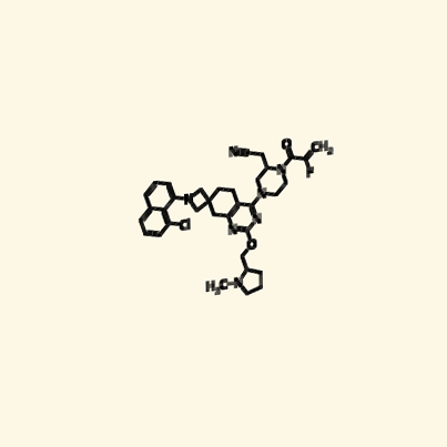 C=C(F)C(=O)N1CCN(c2nc(OCC3CCCN3C)nc3c2CCC2(C3)CN(c3cccc4cccc(Cl)c34)C2)CC1CC#N